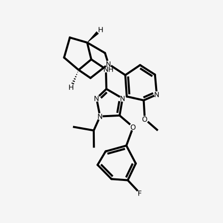 COc1cc(N2C[C@H]3CC[C@H](C2)C3Nc2nc(Oc3cccc(F)c3)n(C(C)C)n2)ccn1